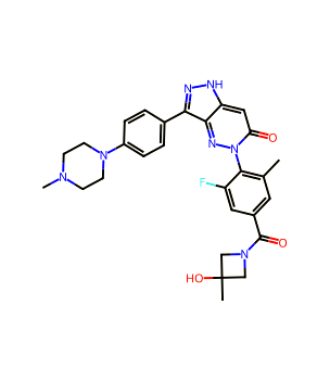 Cc1cc(C(=O)N2CC(C)(O)C2)cc(F)c1-n1nc2c(-c3ccc(N4CCN(C)CC4)cc3)n[nH]c2cc1=O